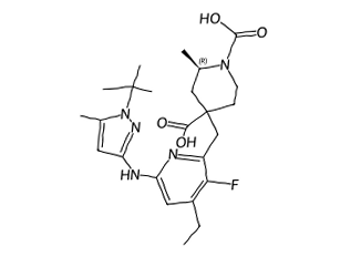 CCc1cc(Nc2cc(C)n(C(C)(C)C)n2)nc(CC2(C(=O)O)CCN(C(=O)O)[C@H](C)C2)c1F